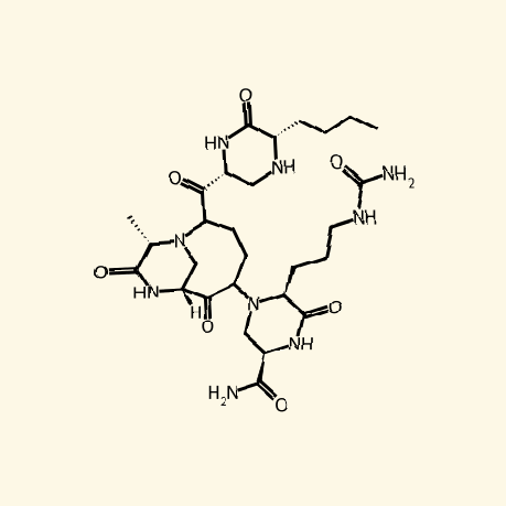 CCCC[C@@H]1NC[C@H](C(=O)C2CCC(N3C[C@H](C(N)=O)NC(=O)[C@@H]3CCCNC(N)=O)C(=O)[C@H]3CN2[C@@H](C)C(=O)N3)NC1=O